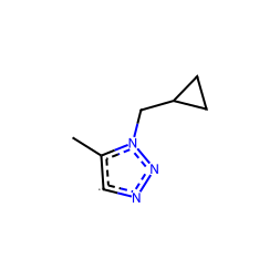 Cc1[c]nnn1CC1CC1